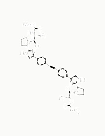 COC(=O)N[C@H](C(=O)N1CCC[C@H]1c1nc(-c2ccc(C#Cc3ccc(-c4c[nH]c([C@@H]5CCCN5C(=O)[C@@H](OC(N)=O)C(C)C)n4)cc3)cc2)c[nH]1)C(C)C